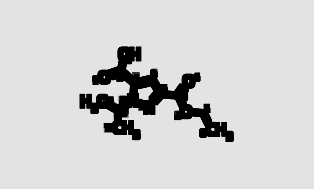 CCOC(=O)c1cc(C(=O)O)n(C(C)C)n1